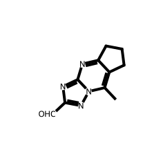 Cc1c2c(nc3nc(C=O)nn13)CCC2